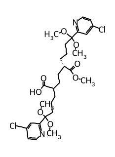 COC(=O)[C@@H](CCCC(OC)(OC)c1cc(Cl)ccn1)CCC(CCCC(OC)(OC)c1cc(Cl)ccn1)C(=O)O